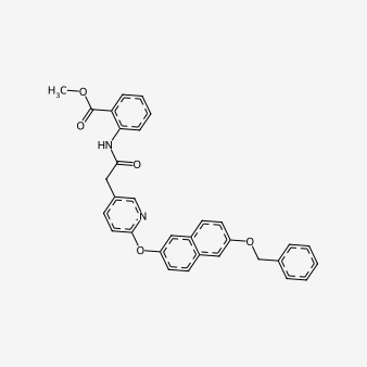 COC(=O)c1ccccc1NC(=O)Cc1ccc(Oc2ccc3cc(OCc4ccccc4)ccc3c2)nc1